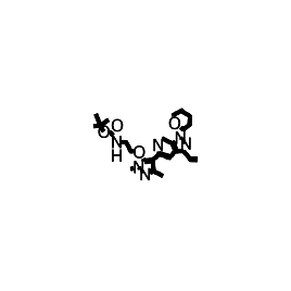 C=Cc1nn(C2CCCCO2)c2cnc(-c3c(C)nn(C)c3OCCNC(=O)OC(C)(C)C)cc12